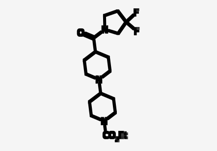 CCOC(=O)N1CCC(N2CCC(C(=O)N3CCC(F)(F)C3)CC2)CC1